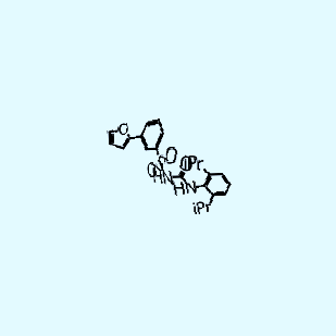 CC(C)c1cccc(C(C)C)c1NC(=O)NS(=O)(=O)c1cccc(-c2ccco2)c1